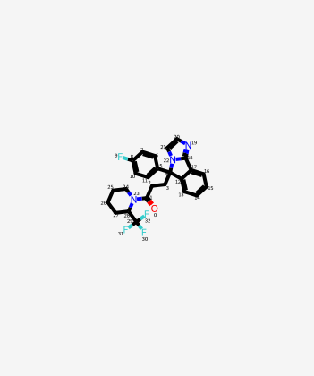 O=C(CCC1(c2ccc(F)cc2)c2ccccc2-c2nccn21)N1CCCCC1C(F)(F)F